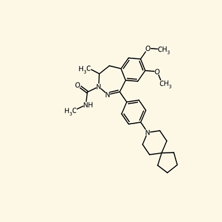 CNC(=O)N1N=C(c2ccc(N3CCC4(CCCC4)CC3)cc2)c2cc(OC)c(OC)cc2CC1C